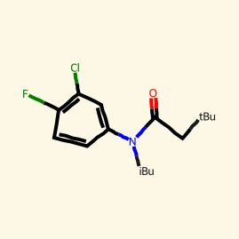 CCC(C)N(C(=O)CC(C)(C)C)c1ccc(F)c(Cl)c1